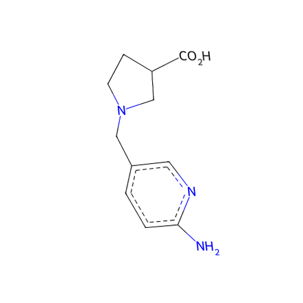 Nc1ccc(CN2CCC(C(=O)O)C2)cn1